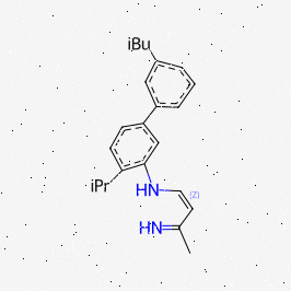 CCC(C)c1cccc(-c2ccc(C(C)C)c(N/C=C\C(C)=N)c2)c1